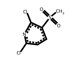 CS(=O)(=O)c1ccc(Cl)nc1Cl